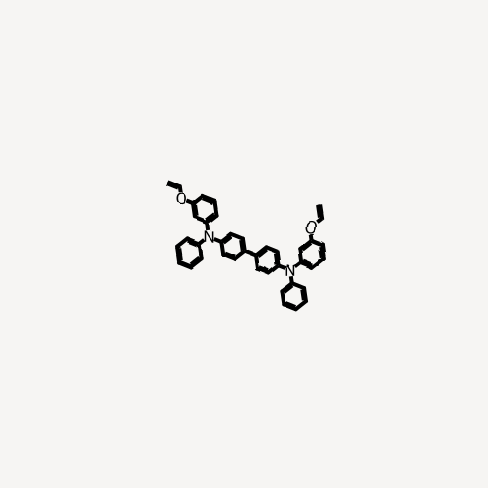 C=COc1cccc(N(c2ccccc2)c2ccc(-c3ccc(N(c4ccccc4)c4cccc(OC=C)c4)cc3)cc2)c1